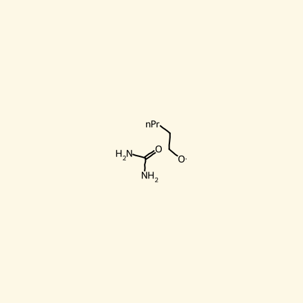 CCCCC[O].NC(N)=O